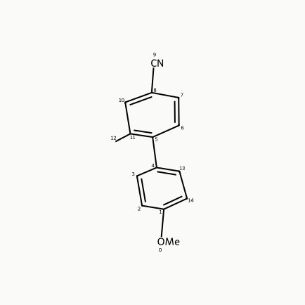 COc1ccc(-c2ccc(C#N)cc2C)cc1